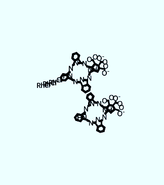 O=C([O-])c1cc2c3nc4nc(nc5[nH]c(nc6nc(nc([nH]3)c2c(C(=O)[O-])c1C(=O)[O-])-c1ccccc1-6)c1ccccc51)-c1ccccc1-4.O=C([O-])c1cc2c3nc4nc(nc5[nH]c(nc6nc(nc([nH]3)c2c(C(=O)[O-])c1C(=O)[O-])-c1ccccc1-6)c1ccccc51)-c1ccccc1-4.[Cl][Rh+2].[Cl][Rh+2].[Cl][Rh+2]